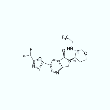 O=C1c2cc(-c3nnc(C(F)F)o3)cnc2CN1[C@@H]1CCOC[C@H]1NCC(F)(F)F